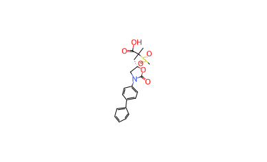 CC(C[C@H]1CN(c2ccc(-c3ccccc3)cc2)C(=O)O1)(C(=O)O)S(C)(=O)=O